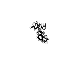 CC1CC2C(CO1)NC(=O)N2c1nc2c3c(ccc2s1)OCCO3